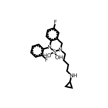 OS1(O)N(CCCCNC2CC2)Cc2cc(F)ccc2N1c1ccccc1F